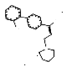 CC(=CCN1CCCCC1)c1ccc(-c2ccccc2Br)cc1